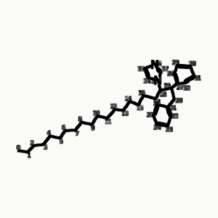 CCCCCCCCCCCCCCCCCCC(C(Cc1ccccc1)c1ccccc1)n1ccnc1